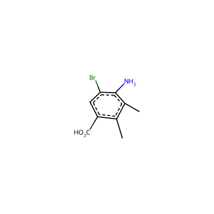 Cc1c(C(=O)O)cc(Br)c(N)c1C